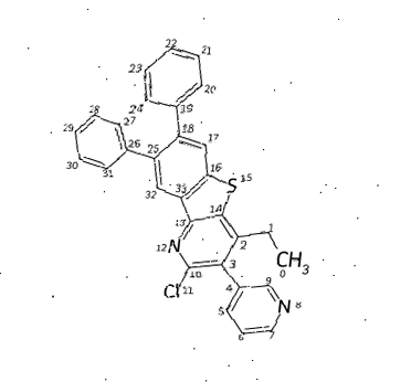 CCc1c(-c2cccnc2)c(Cl)nc2c1sc1cc(-c3ccccc3)c(-c3ccccc3)cc12